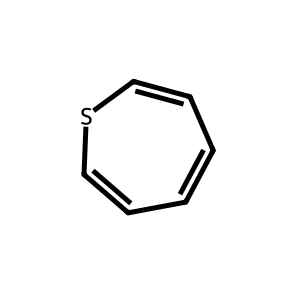 C1=CC=CSC=C1